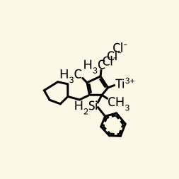 CC1=[C]([Ti+3])C(C)([SiH2]c2ccccc2)C(CC2CCCCC2)=C1C.[Cl-].[Cl-].[Cl-]